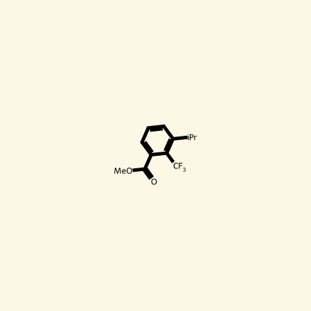 COC(=O)c1cccc(C(C)C)c1C(F)(F)F